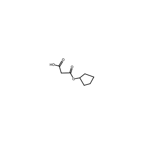 O=C(O)CC(=O)OC1CCCC1